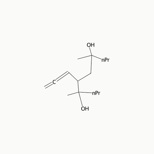 C=C=CC(CC(C)(O)CCC)C(C)(O)CCC